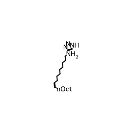 CCCCCCCC/C=C\CCCCCCCCN.c1c[nH]nn1